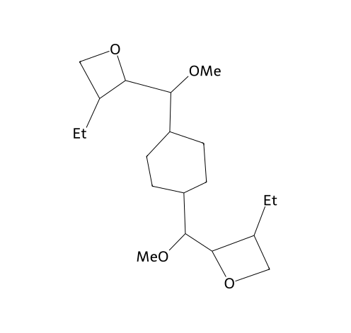 CCC1COC1C(OC)C1CCC(C(OC)C2OCC2CC)CC1